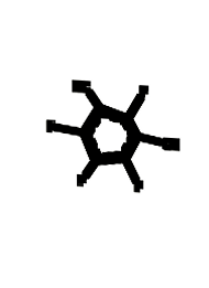 N#Cc1c(F)c(F)c(F)c(C#N)c1F